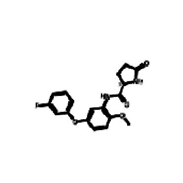 COc1ccc(Oc2cccc(F)c2)cc1NC(=O)[C@H]1CCC(=O)N1